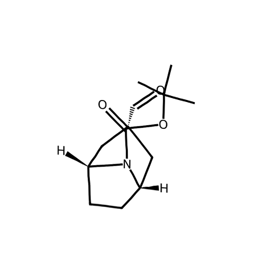 CC(C)(C)OC(=O)N1[C@@H]2CC[C@H]1C[C@@H](C=O)C2